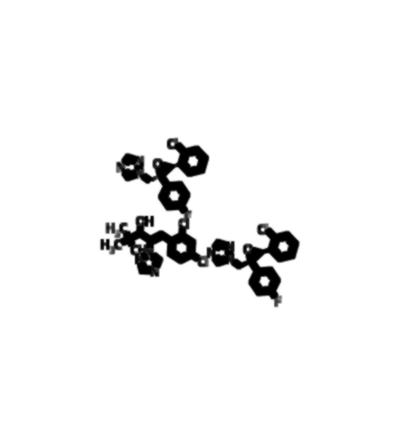 CC(C)(C)C(O)/C(=C/c1ccc(Cl)cc1Cl)n1cncn1.Fc1ccc([C@@]2(Cn3cncn3)O[C@@H]2c2ccccc2Cl)cc1.Fc1ccc([C@]2(Cn3cncn3)O[C@H]2c2ccccc2Cl)cc1